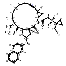 C[C@@H]1CC/C=C\[C@@H]2C[C@@]2(C(=O)NS(=O)(=O)C2(CF)CC2)NC(=O)[C@@H]2C[C@@H](Oc3cnc4ccccc4n3)CN2C(=O)[C@@H](NC(=O)O)[C@H](C)C1